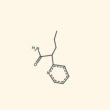 CCCC(C(N)=O)c1ccccn1